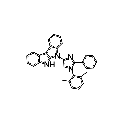 Cc1cccc(C)c1-n1cc(-n2c3ccccc3c3c4ccccc4[nH]c32)nc1-c1ccccc1